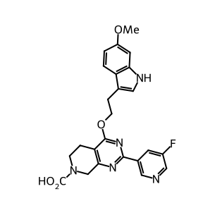 COc1ccc2c(CCOc3nc(-c4cncc(F)c4)nc4c3CCN(C(=O)O)C4)c[nH]c2c1